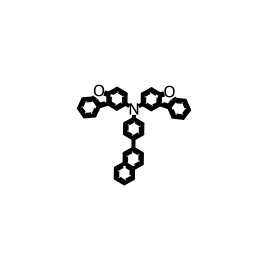 c1ccc2cc(-c3ccc(N(c4ccc5oc6ccccc6c5c4)c4ccc5oc6ccccc6c5c4)cc3)ccc2c1